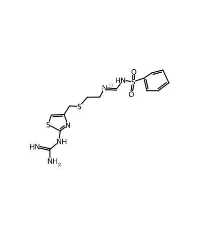 N=C(N)Nc1nc(CSCC/N=C/NS(=O)(=O)c2ccccc2)cs1